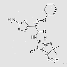 CC1(C)S[C@@H]2[C@@H](NC(=O)/C(=N\OC3C=CCCC3)c3csc(N)n3)C(=O)N2[C@H]1C(=O)O